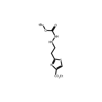 CCOC(=O)c1csc(CCNNC(=O)OC(C)(C)C)n1